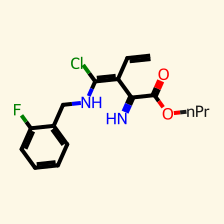 C=C/C(C(=N)C(=O)OCCC)=C(\Cl)NCc1ccccc1F